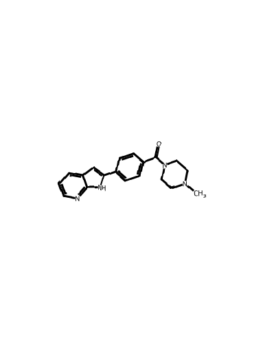 CN1CCN(C(=O)c2ccc(-c3cc4cccnc4[nH]3)cc2)CC1